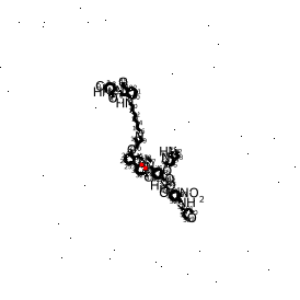 O=C1CCC(N2Cc3c(NCCCCCCCN4CC(COc5cccc(-c6ccc(Cl)cc6)c5CN5CCN(c6ccc(C(=O)NS(=O)(=O)c7ccc(NCC8CCOCC8)c([N+](=O)[O-])c7)c(Oc7cnc8[nH]ccc8c7)c6)CC5)C4)cccc3C2=O)C(=O)N1